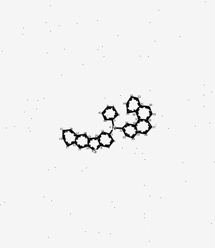 c1ccc(N(c2ccc3sc4cc5ccccc5cc4c3c2)c2ccc3ccc4ccc5ccccc5c4c3c2)cc1